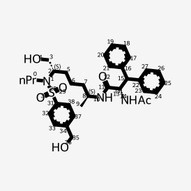 CCCN([C@H](CO)CCC[C@H](C)NC(=O)[C@@H](NC(C)=O)C(c1ccccc1)c1ccccc1)S(=O)(=O)c1ccc(CO)cc1